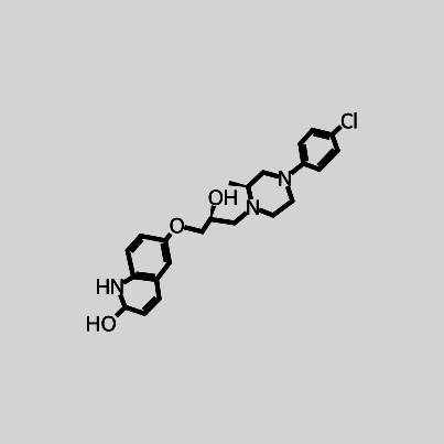 C[C@H]1CN(c2ccc(Cl)cc2)CCN1C[C@H](O)COc1ccc2c(c1)C=CC(O)N2